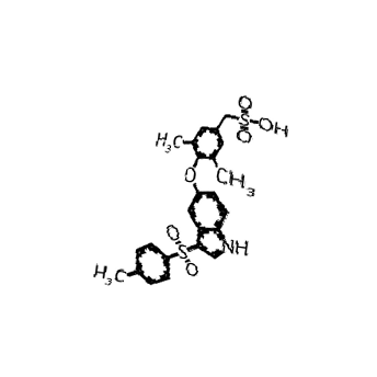 Cc1ccc(S(=O)(=O)c2c[nH]c3ccc(Oc4c(C)cc(CS(=O)(=O)O)cc4C)cc23)cc1